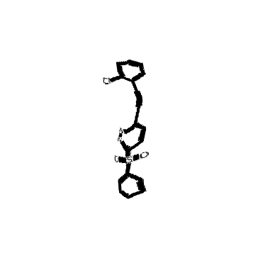 O=S(=O)(c1ccccc1)c1ccc(C#Cc2ccccc2Cl)nn1